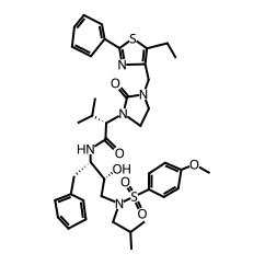 CCc1sc(-c2ccccc2)nc1CN1CCN([C@H](C(=O)N[C@@H](Cc2ccccc2)[C@H](O)CN(CC(C)C)S(=O)(=O)c2ccc(OC)cc2)C(C)C)C1=O